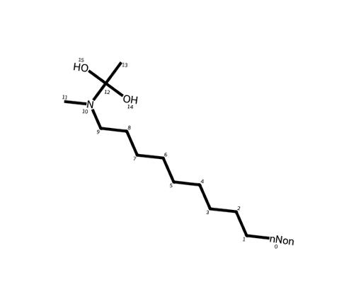 CCCCCCCCCCCCCCCCCCN(C)C(C)(O)O